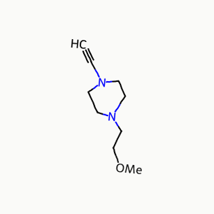 C#CN1CCN(CCOC)CC1